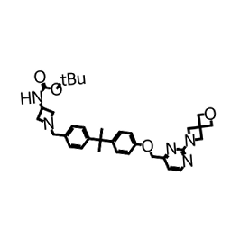 CC(C)(C)OC(=O)NC1CN(Cc2ccc(C(C)(C)c3ccc(OCc4ccnc(N5CC6(COC6)C5)n4)cc3)cc2)C1